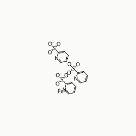 O=S(=O)([O-])c1ccccn1.O=S(=O)([O-])c1ccccn1.O=S(=O)([O-])c1ccccn1.[Fe+3]